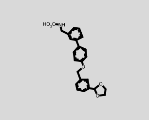 O=C(O)NCc1cccc(-c2ccc(OCc3cccc(C4OCCO4)c3)cc2)c1